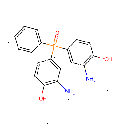 Nc1cc(P(=O)(c2ccccc2)c2ccc(O)c(N)c2)ccc1O